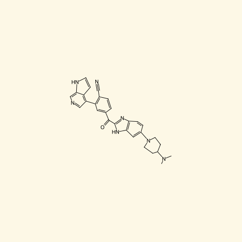 CN(C)C1CCN(c2ccc3nc(C(=O)c4ccc(C#N)c(-c5cncc6[nH]ccc56)c4)[nH]c3c2)CC1